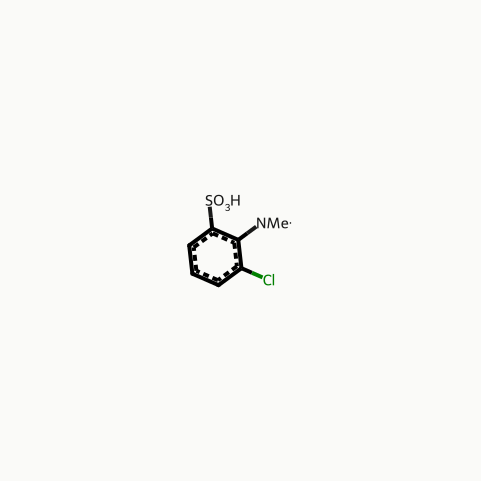 C[N]c1c(Cl)cccc1S(=O)(=O)O